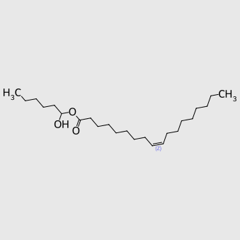 CCCCCCCC/C=C\CCCCCCCC(=O)OC(O)CCCCC